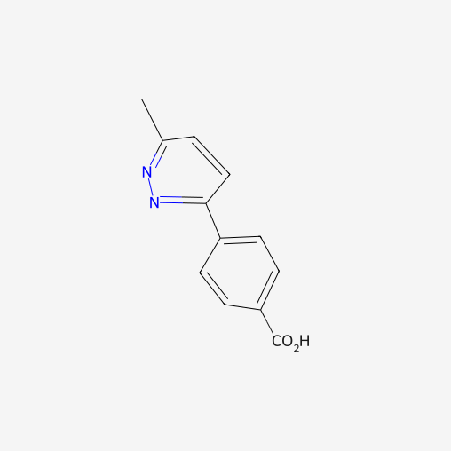 Cc1ccc(-c2ccc(C(=O)O)cc2)nn1